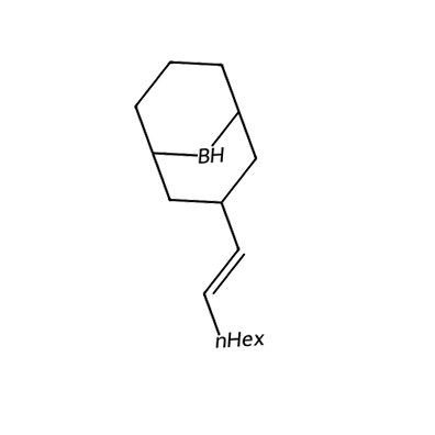 CCCCCC/C=C/C1CC2BC(CCC2)C1